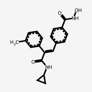 Cc1cccc(/C(=C\c2ccc(C(=O)NO)cc2)C(=O)NC2CC2)c1